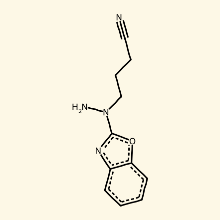 N#CCCCN(N)c1nc2ccccc2o1